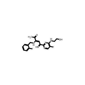 CC(=O)/C(=C/C(=N)c1ncc(F)c(NCCO)n1)NCc1ccccc1F